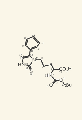 CC(C)(C)OC(=O)NC(CCCn1c(-c2ccccc2)n[nH]c1=S)C(=O)O